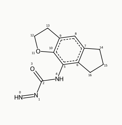 N=NC(=O)Nc1c2c(cc3c1OCC3)CCC2